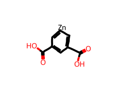 O=C(O)c1cccc(C(=O)O)c1.[Zn]